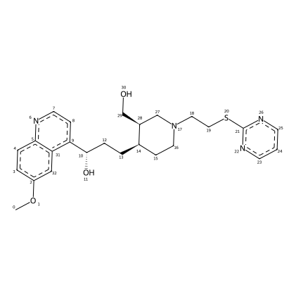 COc1ccc2nccc([C@@H](O)CC[C@@H]3CCN(CCSc4ncccn4)C[C@@H]3CO)c2c1